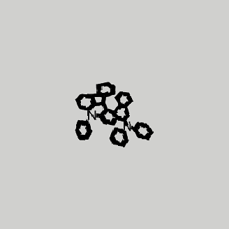 CC12c3ccccc3-c3cccc(c31)N(c1ccccc1)c1ccc3c(N(c4ccccc4)c4ccccc4)cc4ccccc4c3c12